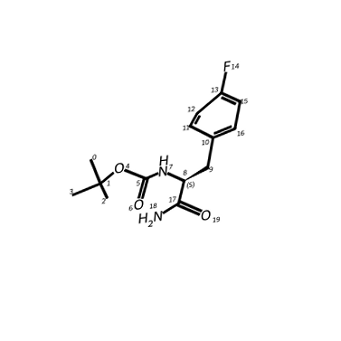 CC(C)(C)OC(=O)N[C@@H](Cc1ccc(F)cc1)C(N)=O